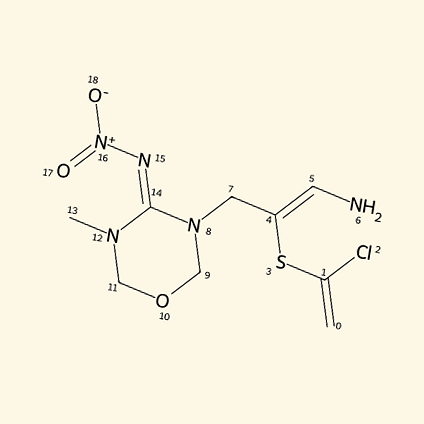 C=C(Cl)S/C(=C\N)CN1COCN(C)/C1=N\[N+](=O)[O-]